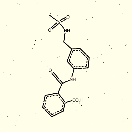 CS(=O)(=O)NCc1cccc(NC(=O)c2ccccc2C(=O)O)c1